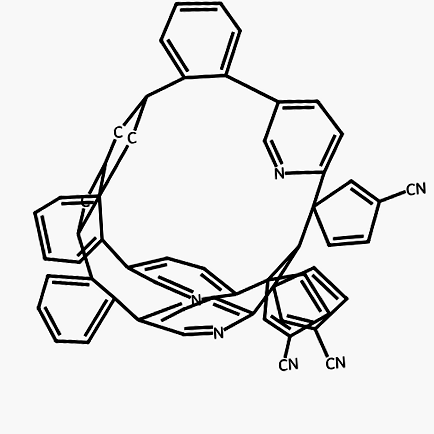 N#CC1=CC2(C=C1)c1ccc(cn1)-c1ccccc1C1CC3CC(C1)c1ccccc1-c1ccc(nc1)C1(C=CC(C#N)=C1)C2C1(C=CC(C#N)=C1)c1ccc(cn1)-c1ccccc13